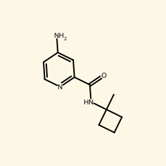 CC1(NC(=O)c2cc(N)ccn2)CCC1